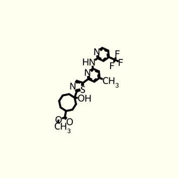 COC(=O)C1CCCCC(O)(c2ncc(-c3cc(C)cc(Nc4cc(C(F)(F)F)ccn4)n3)s2)CC1